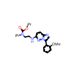 COc1ccccc1-c1cnc2ccc(NCCN(C(=O)OC(C)C)C(C)C)nn12